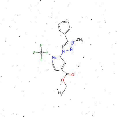 CCOC(=O)c1ccnc(-n2cc(-c3ccccc3)[n+](C)n2)c1.F[B-](F)(F)F